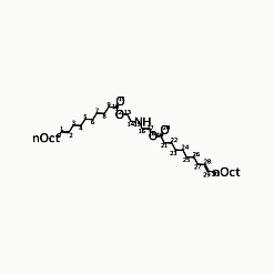 CCCCCCCCC=CCCCCCCCC(=O)OCCNCCOC(=O)CCCCCCCC=CCCCCCCCC